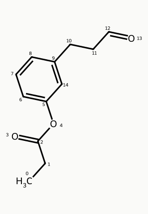 CCC(=O)Oc1cccc(CCC=O)c1